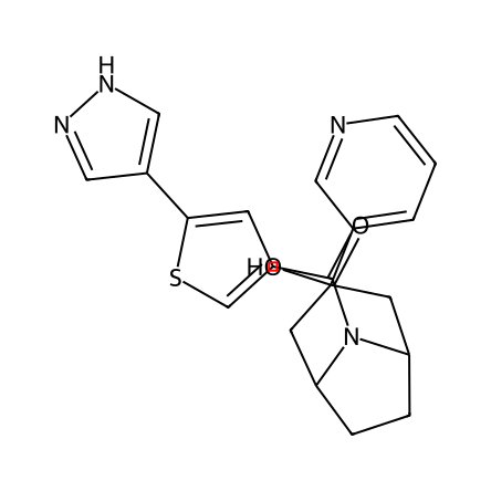 O=C(c1csc(-c2cn[nH]c2)c1)N1C2CCC1CC(O)(c1cccnc1)C2